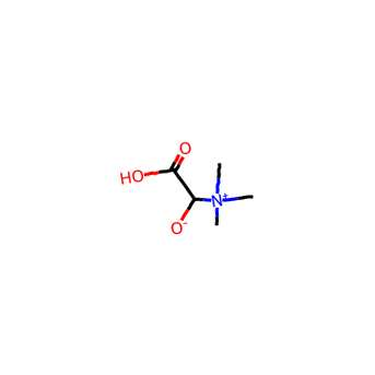 C[N+](C)(C)C([O-])C(=O)O